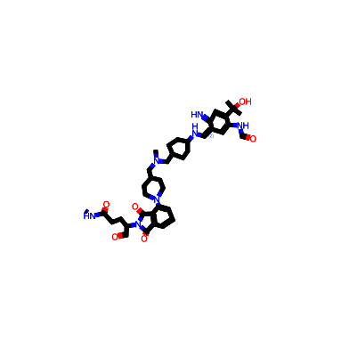 CNC(=O)CCC(C=O)N1C(=O)c2cccc(N3CCC(CN(C)CC4CCC(N/C=C5/C=C(NC=O)C(C(C)(C)O)=CC5=N)CC4)CC3)c2C1=O